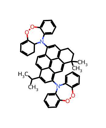 CC(C)c1cc(-n2c3ccccc3ooc3ccccc32)c2cc3c4c(cc(N5c6ccccc6OOC6=CC=CCC65)c5ccc1c2c54)CCC3(C)C